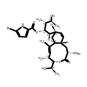 CO[C@H]1C[C@H]2C=C[C@@H]3C[C@]2(O[C@H]3[C@H](OC(=O)c2ccc(Br)[nH]2)[C@H](C)[C@H](C)O)/C(C)=C/[C@@H](C)[C@@H]([C@@H](C)O)OC1=O